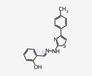 Cc1ccc(-c2csc(N/N=C/c3ccccc3O)n2)cc1